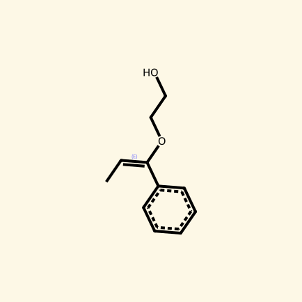 C/C=C(/OCCO)c1ccccc1